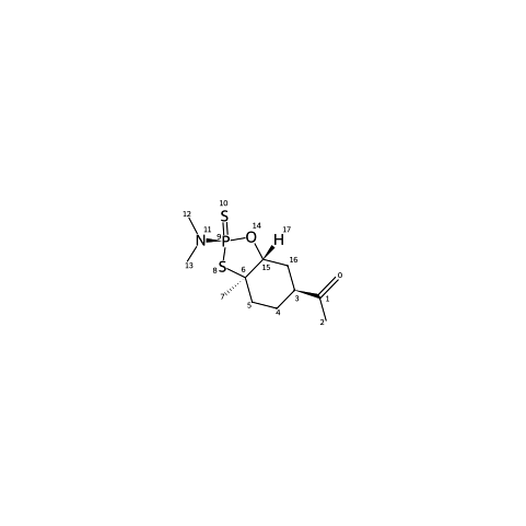 C=C(C)[C@H]1CC[C@@]2(C)S[P@@](=S)(N(C)C)O[C@@H]2C1